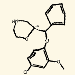 COc1cc(Cl)ccc1OC(c1ccccc1)[C@@H]1CNCCO1